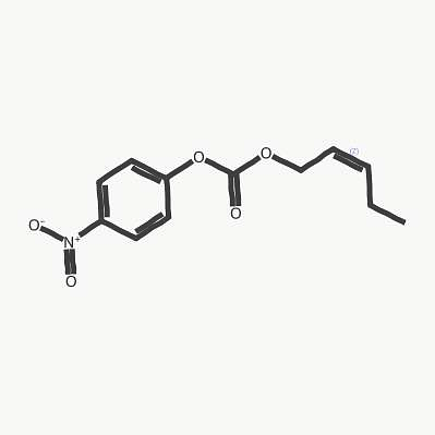 CC/C=C\COC(=O)Oc1ccc([N+](=O)[O-])cc1